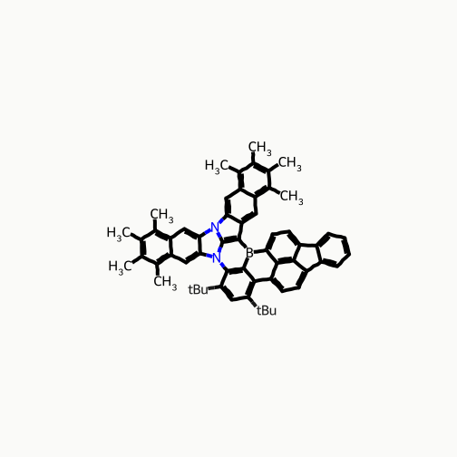 Cc1c(C)c(C)c2cc3c(cc2c1C)c1c2n(c4cc5c(C)c(C)c(C)c(C)c5cc4n32)-c2c(C(C)(C)C)cc(C(C)(C)C)c3c2B1c1ccc2c4c(ccc-3c14)-c1ccccc1-2